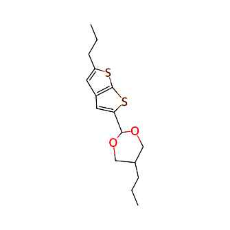 CCCc1cc2cc(C3OCC(CCC)CO3)sc2s1